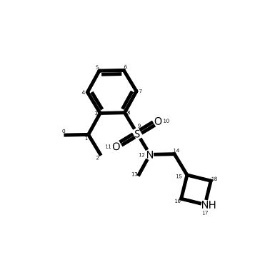 CC(C)c1ccccc1S(=O)(=O)N(C)CC1CNC1